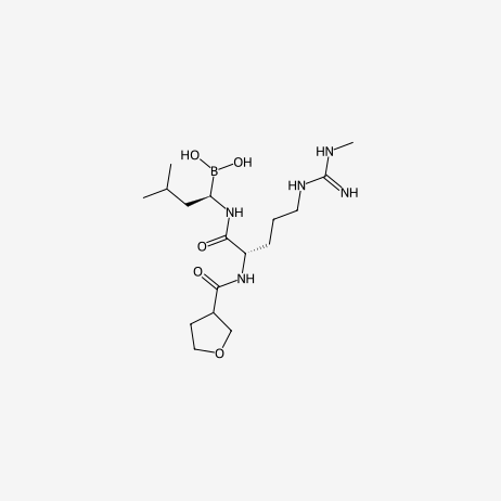 CNC(=N)NCCC[C@H](NC(=O)C1CCOC1)C(=O)N[C@@H](CC(C)C)B(O)O